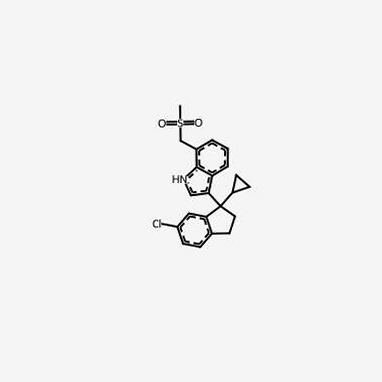 CS(=O)(=O)Cc1cccc2c(C3(C4CC4)CCc4ccc(Cl)cc43)c[nH]c12